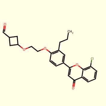 CCCc1cc(-c2cc(=O)c3cccc(Cl)c3o2)ccc1OCCOC1CC(C=O)C1